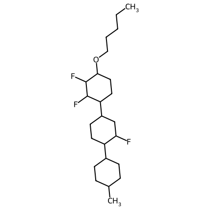 CCCCCOC1CCC(C2CCC(C3CCC(C)CC3)C(F)C2)C(F)C1F